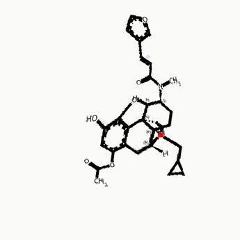 CC(=O)Oc1cc(O)c2c3c1C[C@@H]1[C@@H]4CC[C@H](N(C)C(=O)/C=C/c5ccoc5)[C@H](O2)[C@]34CCN1CC1CC1